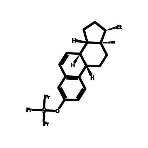 CC[C@H]1CC[C@H]2[C@@H]3C=Cc4cc(O[Si](C(C)C)(C(C)C)C(C)C)ccc4[C@H]3CC[C@]12C